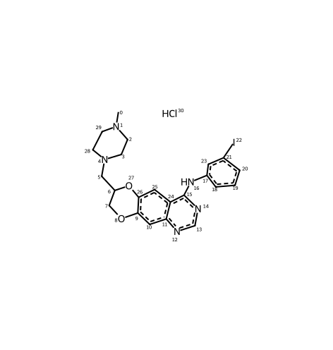 CN1CCN(CC2COc3cc4ncnc(Nc5cccc(I)c5)c4cc3O2)CC1.Cl